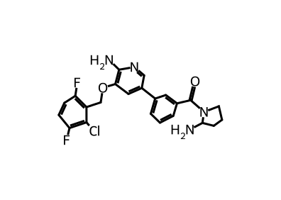 Nc1ncc(-c2cccc(C(=O)N3CCCC3N)c2)cc1OCc1c(F)ccc(F)c1Cl